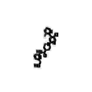 Cc1cccnc1-c1cc(N2CCC(C(=O)Nc3cccc(CO)n3)CC2)ncc1Cl